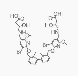 COc1nc(OCc2cccc(-c3cccc(COc4nc(OC)c(CNCC(O)CC(=O)O)cc4Br)c3C)c2C)c(Br)cc1CNCC(O)CC(=O)O